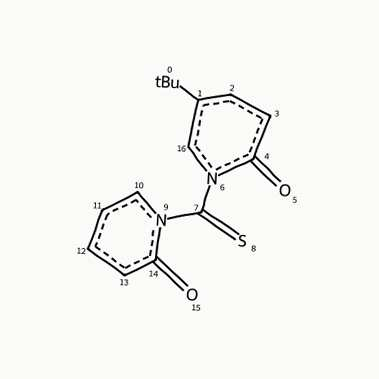 CC(C)(C)c1ccc(=O)n(C(=S)n2ccccc2=O)c1